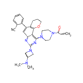 C=CC(=O)N1CCN(c2nc(N3CC(N(C)C)C3)nc3cc(-c4ccccc4C#N)c4c(c23)OCCC4)CC1